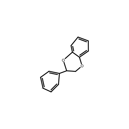 [c]1ccc(C2COc3ccccc3O2)cc1